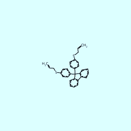 C=CCSc1ccc(C2(c3ccc(SCC=C)cc3)c3ccccc3-c3ccccc32)cc1